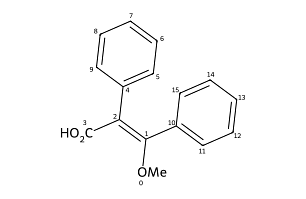 COC(=C(C(=O)O)c1ccccc1)c1ccccc1